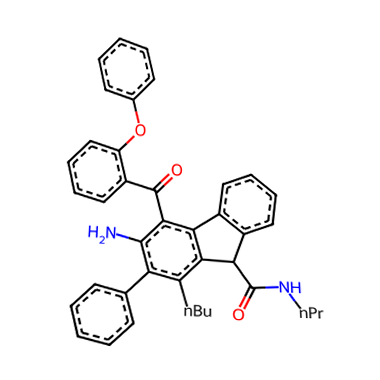 CCCCc1c(-c2ccccc2)c(N)c(C(=O)c2ccccc2Oc2ccccc2)c2c1C(C(=O)NCCC)c1ccccc1-2